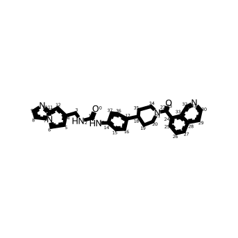 O=C(NCc1ccn2ccnc2c1)Nc1ccc(C2CCN(C(=O)c3cccc4ccncc34)CC2)cc1